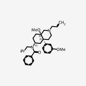 C=CCN1CC[C@@]2(c3cccc(OC)c3)C[C@@H](N(CC(C)C)C(=O)c3ccccc3)CC[C@]2(OC)C1